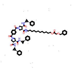 O=C(COCc1ccccc1)OCCCCCCCCCCCCNC(=O)[C@@H]1CN(C(=O)c2ccc(C(=O)N3C[C@@H](C(=O)N[C@H]4C[C@@H]4c4ccccc4)[C@H](C(=O)N[C@H]4C[C@@H]4c4ccccc4)C3)cc2)C[C@H]1C(=O)N[C@H]1C[C@@H]1c1ccccc1